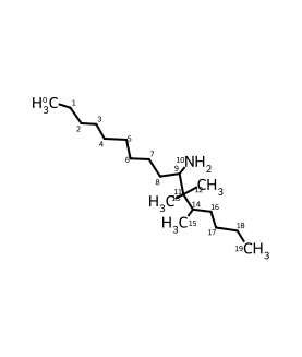 CCCCCCCCCC(N)C(C)(C)C(C)CCCC